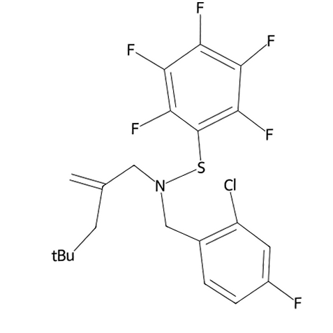 C=C(CN(Cc1ccc(F)cc1Cl)Sc1c(F)c(F)c(F)c(F)c1F)CC(C)(C)C